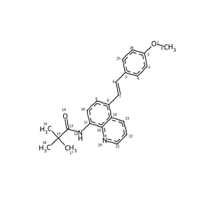 COc1ccc(C=Cc2ccc(NC(=O)C(C)(C)C)c3ncccc23)cc1